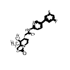 CC1[C@H](CC(=O)Nc2ccc(-c3cc(F)cc(F)c3)cn2)CCN2C(=O)OC[C@@]12C